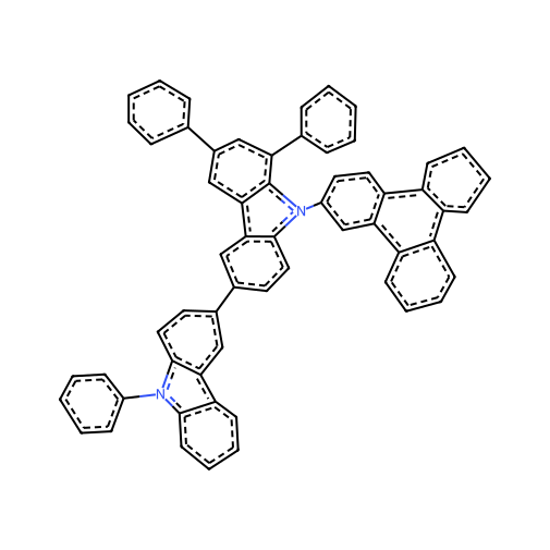 c1ccc(-c2cc(-c3ccccc3)c3c(c2)c2cc(-c4ccc5c(c4)c4ccccc4n5-c4ccccc4)ccc2n3-c2ccc3c4ccccc4c4ccccc4c3c2)cc1